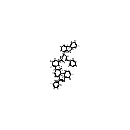 c1ccc(-c2cc(-c3cccc4c3oc3ccccc34)nc(-c3cccc4c3oc3c4ccc4c(-c5ccccc5)nc5ccccc5c43)n2)cc1